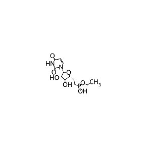 CCOP(O)CC[C@H]1O[C@@H](n2ccc(=O)[nH]c2=O)[C@@H](O)C1O